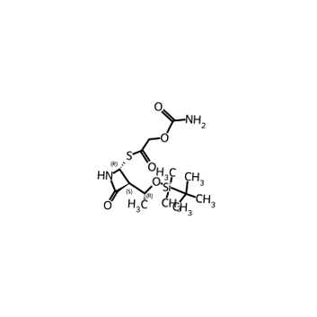 C[C@@H](O[Si](C)(C)C(C)(C)C)[C@H]1C(=O)N[C@@H]1SC(=O)COC(N)=O